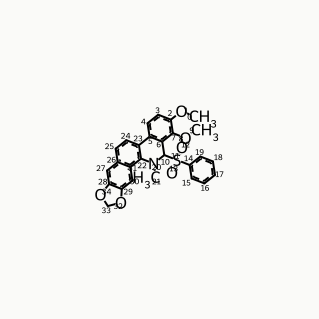 COc1ccc2c(c1OC)C(S(=O)(=O)c1ccccc1)N(C)c1c-2ccc2cc3c(cc12)OCO3